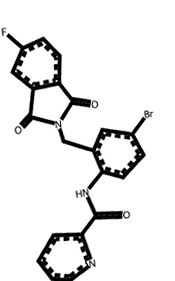 O=C(Nc1ccc(Br)cc1CN1C(=O)c2ccc(F)cc2C1=O)c1ccccn1